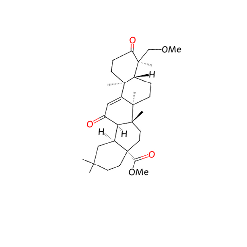 COC[C@]1(C)C(=O)CC[C@]2(C)C3=CC(=O)[C@@H]4[C@@H]5CC(C)(C)CC[C@]5(C(=O)OC)CC[C@@]4(C)[C@]3(C)CC[C@@H]12